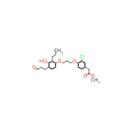 CCCc1c(OCCCOc2ccc(CC(=O)OC)cc2Cl)ccc(CCC=O)c1O